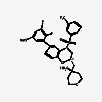 COc1cc(F)c(F)c(-c2ccc3c(c2)N(S(=O)(=O)c2cccc(C(F)(F)F)c2)C[C@H](CC2(C(=O)O)CCOCC2)O3)c1